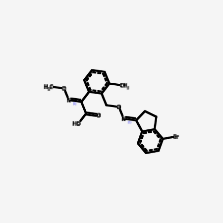 CO/N=C(/C(=O)O)c1cccc(C)c1CO/N=C1\CCc2c(Br)cccc21